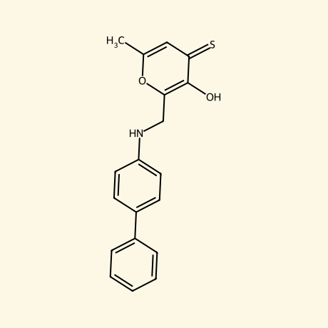 Cc1cc(=S)c(O)c(CNc2ccc(-c3ccccc3)cc2)o1